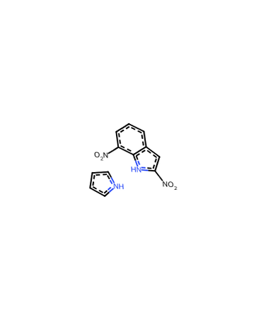 O=[N+]([O-])c1cc2cccc([N+](=O)[O-])c2[nH]1.c1cc[nH]c1